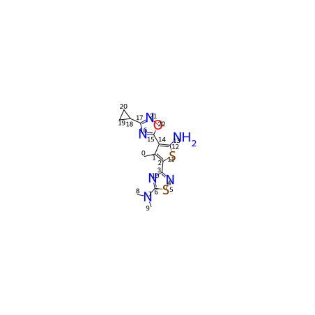 Cc1c(-c2nsc(N(C)C)n2)sc(N)c1-c1nc(C2CC2)no1